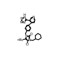 CCCCc1c(Cl)n(CC2CCCCC2)c(=O)n1Cc1ccc(-c2ccncc2-c2nnn[nH]2)cc1